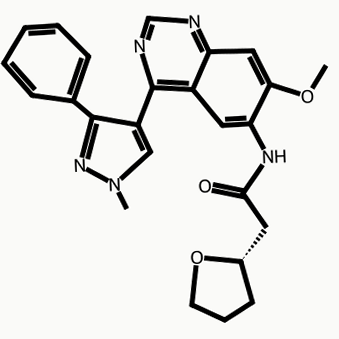 COc1cc2ncnc(-c3cn(C)nc3-c3ccccc3)c2cc1NC(=O)C[C@@H]1CCCO1